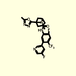 Cc1nnc(C23CC(C)CC(C2)N3C(=O)Nc2cc(-c3cncc(F)c3)c(C(F)(F)F)cc2F)o1